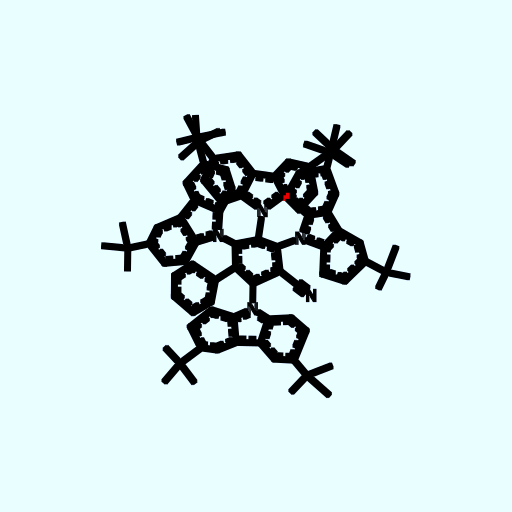 CC(C)(C)c1ccc2c(c1)c1cc(C(C)(C)C)ccc1n2-c1c(C#N)c(-n2c3ccc(C(C)(C)C)cc3c3cc(C(C)(C)C)ccc32)c(-n2c3ccc(C(C)(C)C)cc3c3cc(C(C)(C)C)ccc32)c(-n2c3ccc(C(C)(C)C)cc3c3cc(C(C)(C)C)ccc32)c1-c1ccccc1